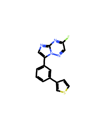 Fc1cnn2c(-c3cccc(-c4ccsc4)c3)cnc2n1